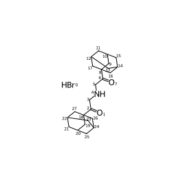 Br.O=C(CNCC(=O)C12CC3CC(CC(C3)C1)C2)C12CC3CC(CC(C3)C1)C2